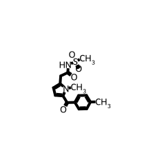 Cc1ccc(C(=O)c2ccc(CC(=O)NS(C)(=O)=O)n2C)cc1